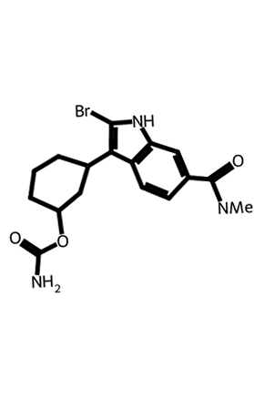 CNC(=O)c1ccc2c(C3CCCC(OC(N)=O)C3)c(Br)[nH]c2c1